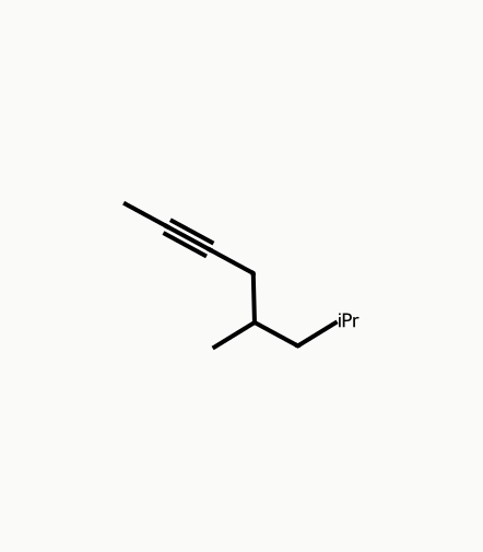 [CH2]C(C)CC(C)CC#CC